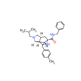 Cc1ccc(C[C@@H]2[C@@H]3[C@@H]4CN[C@@]2(C(=O)NCc2ccccc2)C[C@@H]4CN3CC(C)C)cc1